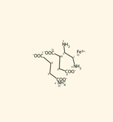 NCCN.O=C([O-])CCC(=O)[O-].O=C([O-])CCC(=O)[O-].[Fe+3].[NH4+]